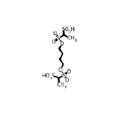 CC(S(=O)(=O)O)S(=O)(=O)OCCCCOS(=O)(=O)C(C)S(=O)(=O)O